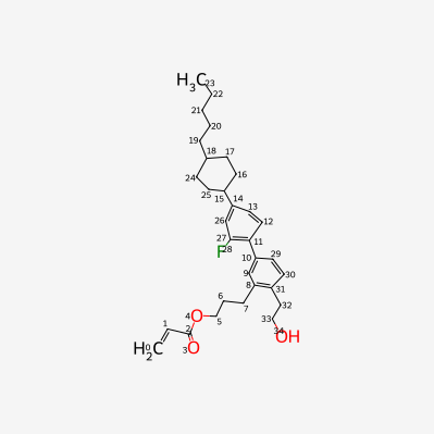 C=CC(=O)OCCCc1cc(-c2ccc(C3CCC(CCCCC)CC3)cc2F)ccc1CCO